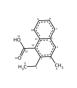 CCc1c(C)cc2ccccc2c1C(=O)O